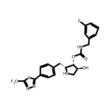 O=C(NCc1cccc(F)c1)O[C@@H]1[C@@H](O)CN[C@@H]1Cc1ccc(-c2nnc(C(F)(F)F)s2)cc1